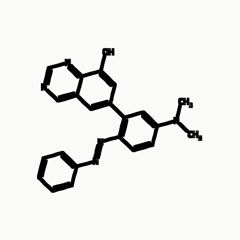 CN(C)c1ccc(N=Nc2ccccc2)c(-c2cc(O)c3ncncc3c2)c1